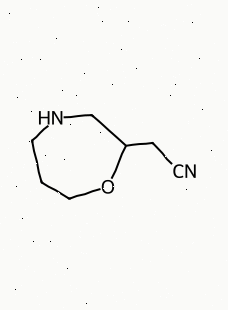 N#CCC1CNCCCO1